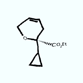 CCOC(=O)[C@@]1(C2CC2)CC=CCO1